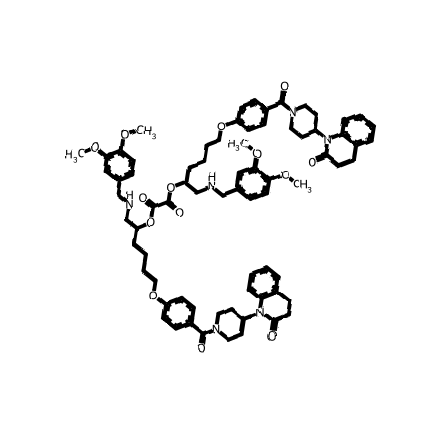 COc1ccc(CNCC(CCCCOc2ccc(C(=O)N3CCC(N4C(=O)CCc5ccccc54)CC3)cc2)OC(=O)C(=O)OC(CCCCOc2ccc(C(=O)N3CCC(N4C(=O)CCc5ccccc54)CC3)cc2)CNCc2ccc(OC)c(OC)c2)cc1OC